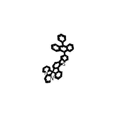 c1ccc(-c2c3ccccc3c(-c3ccc4sc5c6c(ccc5c4c3)C(c3ccccn3)(c3ccccn3)c3ccccc3-6)c3ccccc23)cc1